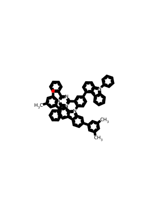 Cc1cc(C)cc(-c2ccc3c4ccc(-c5cc(C)cc(C)c5)cc4n(-c4ccc(-c5cccc6c5c5ccccc5n6-c5ccccc5)cc4-c4nc(-c5ccccc5)nc(-c5ccccc5)n4)c3c2)c1